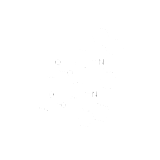 C=CC(=O)Oc1cccc(N(c2cccc(N(c3cccc(OC(=O)C=C)c3)c3cccc4ccccc34)c2)c2cccc3ccccc23)c1